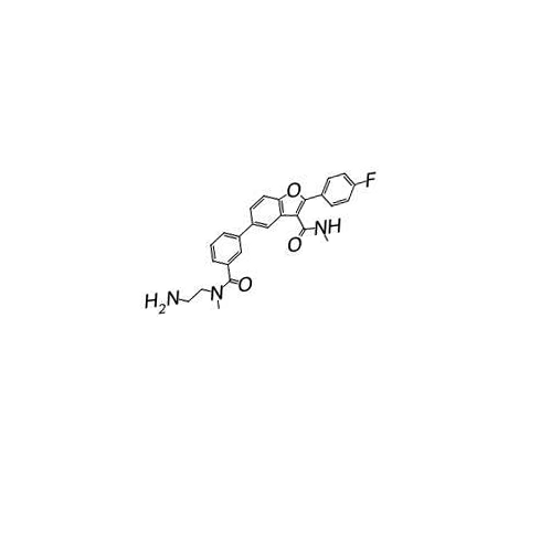 CNC(=O)c1c(-c2ccc(F)cc2)oc2ccc(-c3cccc(C(=O)N(C)CCN)c3)cc12